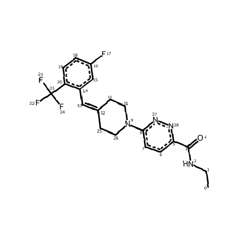 CCNC(=O)c1ccc(N2CCC(=Cc3cc(F)ccc3C(F)(F)F)CC2)nn1